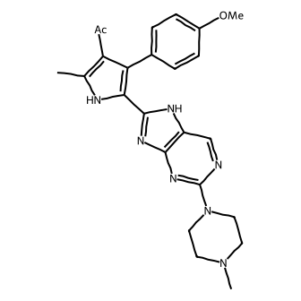 COc1ccc(-c2c(-c3nc4nc(N5CCN(C)CC5)ncc4[nH]3)[nH]c(C)c2C(C)=O)cc1